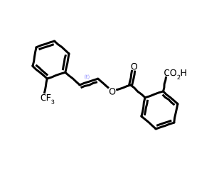 O=C(O)c1ccccc1C(=O)O/C=C/c1ccccc1C(F)(F)F